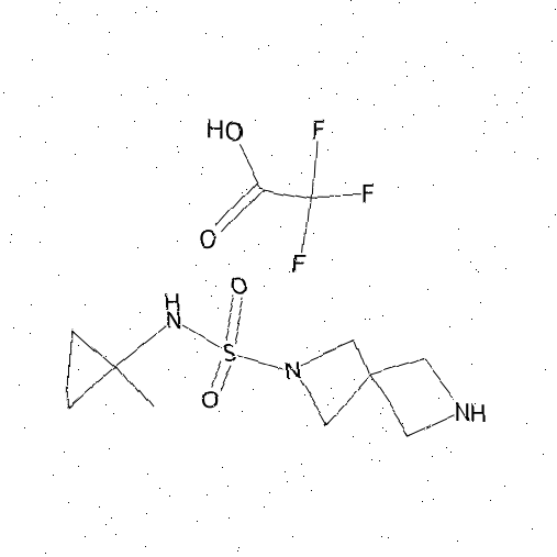 CC1(NS(=O)(=O)N2CC3(CNC3)C2)CC1.O=C(O)C(F)(F)F